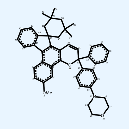 COc1ccc2c3c(c4c(c2c1)OC(c1ccccc1)(c1ccc(N2CCOCC2)cc1)C=C4)C1(CC(C)(C)CC(C)(C)C1)c1ccccc1-3